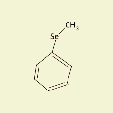 C[Se]c1c[c]ccc1